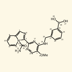 COc1nnc(C2=NC=C3C=CC=C[N+]32C(N)=O)nc1NCc1cccc(B(O)O)c1